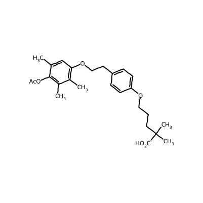 CC(=O)Oc1c(C)cc(OCCc2ccc(OCCCC(C)(C)C(=O)O)cc2)c(C)c1C